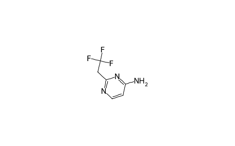 Nc1ccnc(CC(F)(F)F)n1